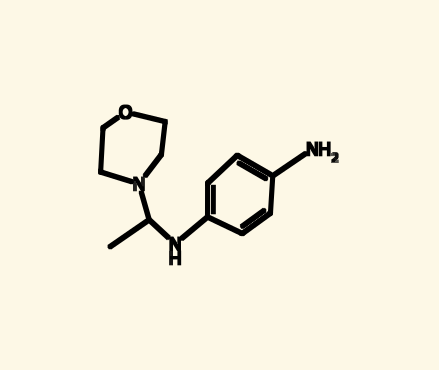 CC(Nc1ccc(N)cc1)N1CCOCC1